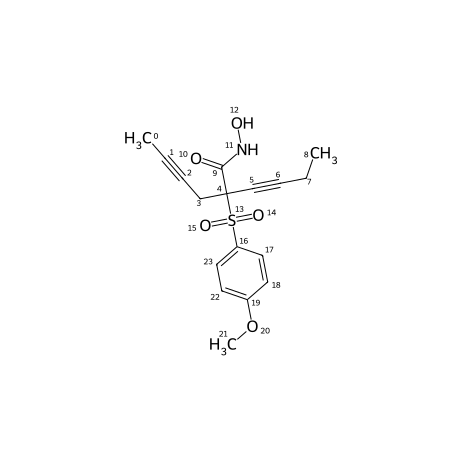 CC#CCC(C#CCC)(C(=O)NO)S(=O)(=O)c1ccc(OC)cc1